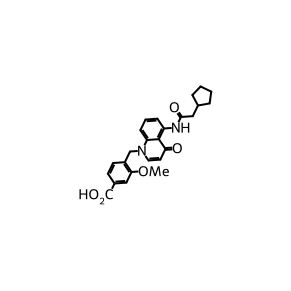 COc1cc(C(=O)O)ccc1Cn1ccc(=O)c2c(NC(=O)CC3CCCC3)cccc21